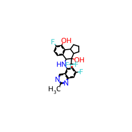 Cc1ncc2c(NC3c4ccc(F)c(O)c4C4CCCC4C3(O)C(F)(F)F)cc(F)cc2n1